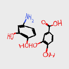 Nc1ccc(O)c(O)c1.O=C(O)c1ccc(O)c(O)c1